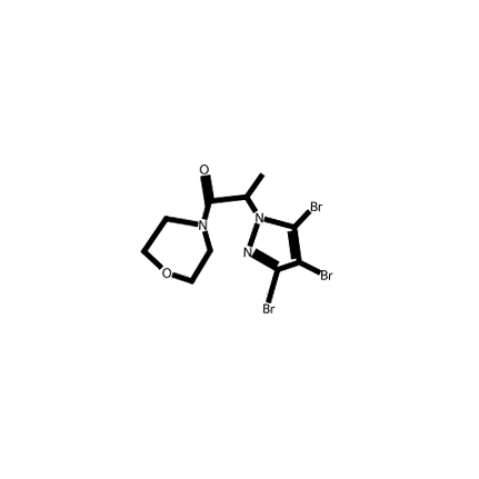 CC(C(=O)N1CCOCC1)n1nc(Br)c(Br)c1Br